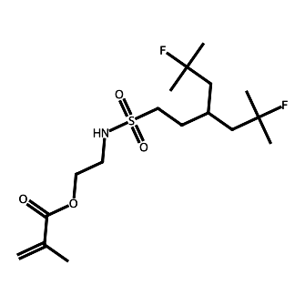 C=C(C)C(=O)OCCNS(=O)(=O)CCC(CC(C)(C)F)CC(C)(C)F